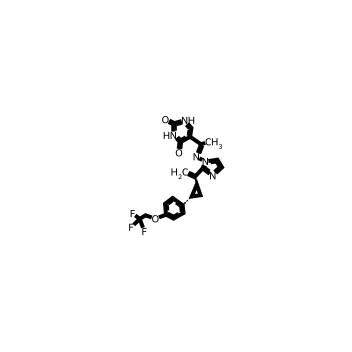 C=C(c1nccn1/N=C(\C)c1c[nH]c(=O)[nH]c1=O)[C@H]1C[C@@H]1c1ccc(OCC(F)(F)F)cc1